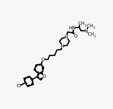 CC(CN(C)C)NC(=O)CN1CCN(CCCCCOc2ccc3c(-c4ccc(Cl)cc4)coc3c2)CC1